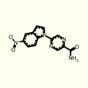 NC(=O)c1cnc(-n2ccc3cc([N+](=O)[O-])ccc32)cn1